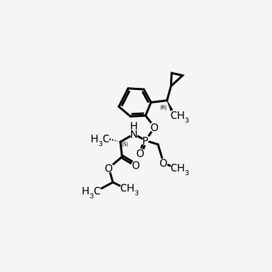 COCP(=O)(N[C@@H](C)C(=O)OC(C)C)Oc1ccccc1[C@H](C)C1CC1